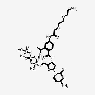 CC(N)c1cc(NC(=O)COCCOCCN)ccc1C(=O)O[C@@H]1C[C@H](n2ccc(N)nc2=O)OC1COP(=O)(O)OP(=O)(O)OP(=O)(O)O